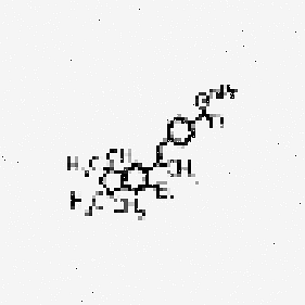 CCCOC(=O)c1ccc(C=C(C)c2cc3c(cc2CC)C(C)(C)CC3(C)C)cc1